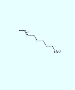 [CH2]/C=C/CCCCCCC[CH]C